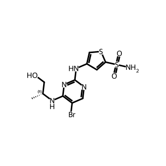 C[C@H](CO)Nc1nc(Nc2csc(S(N)(=O)=O)c2)ncc1Br